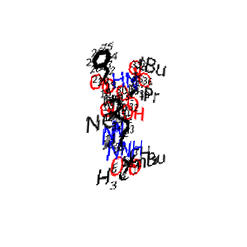 CCCCOC(C)(C)C(=O)Nc1ncnn2c([C@]3(C#N)O[C@H](COC(=O)Cc4ccccc4)[C@@H](OC(=O)[C@H](NC(=O)OC(C)(C)C)C(C)C)[C@H]3O)ccc12